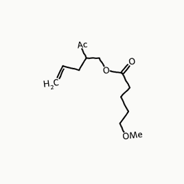 C=CCC(COC(=O)CCCCOC)C(C)=O